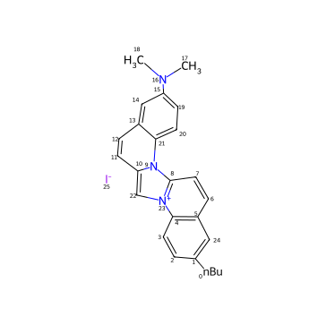 CCCCc1ccc2c(ccc3n4c(ccc5cc(N(C)C)ccc54)c[n+]23)c1.[I-]